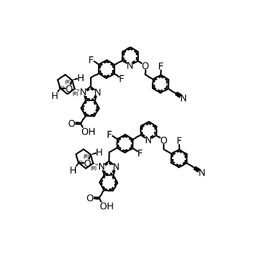 N#Cc1ccc(COc2cccc(-c3cc(F)c(Cc4nc5ccc(C(=O)O)cc5n4[C@@H]4C[C@@H]5CC[C@H]4O5)cc3F)n2)c(F)c1.N#Cc1ccc(COc2cccc(-c3cc(F)c(Cc4nc5ccc(C(=O)O)cc5n4[C@@H]4C[C@@H]5CC[C@H]4O5)cc3F)n2)c(F)c1